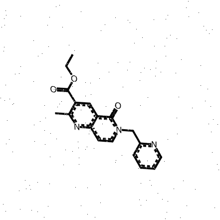 CCOC(=O)c1cc2c(=O)n(Cc3ccccn3)ccc2nc1C